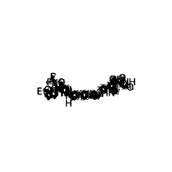 CC[C@@]1(O)CCc2ccc(-n3c4nc(Nc5ccc(N6CCN(C7CCN(C[C@@H]8CCC(c9cc%10onc(C%11CCC(=O)NC%11=O)c%10c%10cc[nH]c9%10)C8)CC7)CC6)cc5)ncc4c(=O)n3CC=C(F)F)nc21